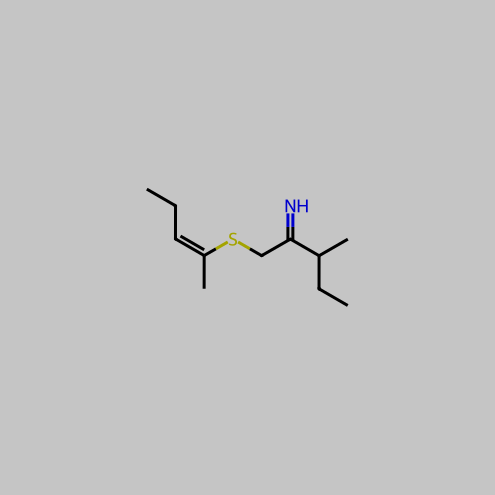 CCC=C(C)SCC(=N)C(C)CC